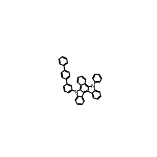 c1ccc(-c2ccc(-c3cccc(-n4c5ccccc5c5c6c7ccccc7n(-c7ccccc7)c6c6ccccc6c54)c3)cc2)cc1